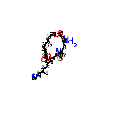 CC(/C=C/C(C)=C/[C@@H]1Cc2nc(cs2)CC[C@@H](N)CC(=O)O[C@@H](C)C/C(C)=C/C=C\C(=O)O1)=C\CN(C)C